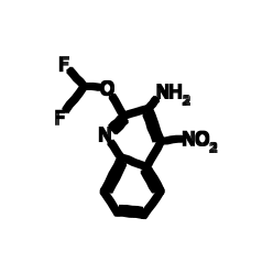 Nc1c(OC(F)F)nc2ccccc2c1[N+](=O)[O-]